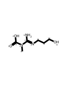 CN(C(=O)O)C(N)=NCCCO